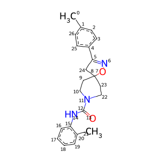 Cc1ccc(C2=NOC3(CCN(C(=O)Nc4ccccc4C)CC3)C2)cc1